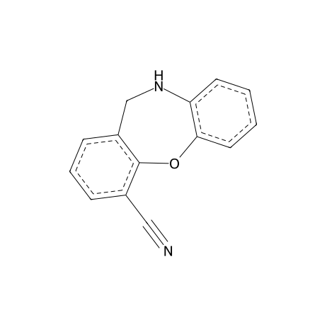 N#Cc1cccc2c1Oc1ccccc1NC2